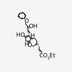 CCOC(=O)/C=C/C[C@H]1CC[C@@H]2[C@@H](/C=C/[C@@H](O)COc3ccccc3)[C@H](O)C[C@@H]2OC1